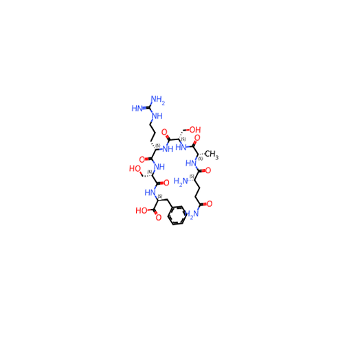 C[C@H](NC(=O)[C@@H](N)CCC(N)=O)C(=O)N[C@@H](CO)C(=O)N[C@@H](CCCNC(=N)N)C(=O)N[C@@H](CO)C(=O)N[C@@H](Cc1ccccc1)C(=O)O